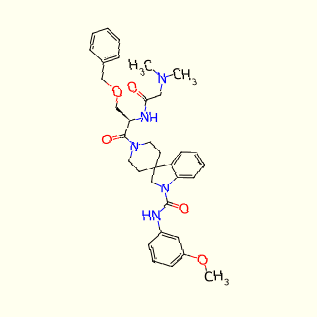 COc1cccc(NC(=O)N2CC3(CCN(C(=O)[C@@H](COCc4ccccc4)NC(=O)CN(C)C)CC3)c3ccccc32)c1